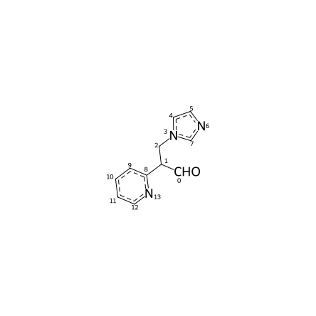 O=CC(Cn1ccnc1)c1ccccn1